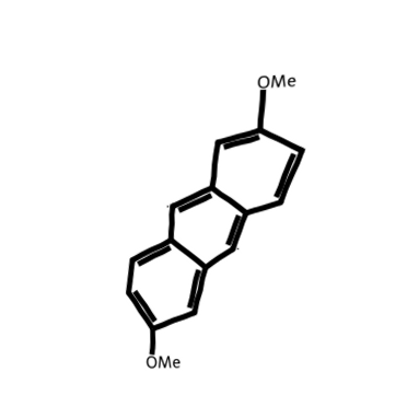 COc1ccc2[c]c3cc(OC)ccc3[c]c2c1